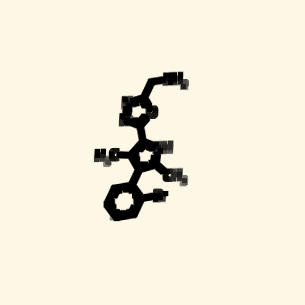 Cc1[nH]c(-c2nnc(CN)o2)c(C)c1-c1cc[c]cc1Br